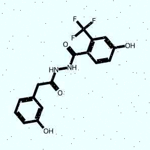 O=C(Cc1cccc(O)c1)NNC(=O)c1ccc(O)cc1C(F)(F)F